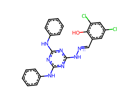 Oc1c(Cl)cc(Cl)cc1/C=N/Nc1nc(Nc2ccccc2)nc(Nc2ccccc2)n1